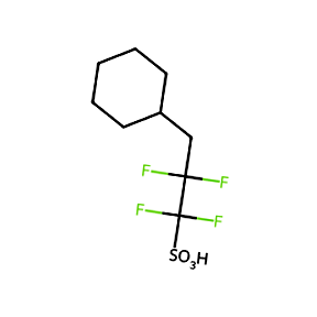 O=S(=O)(O)C(F)(F)C(F)(F)CC1CCCCC1